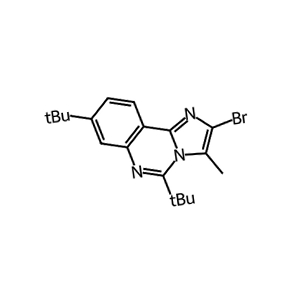 Cc1c(Br)nc2c3ccc(C(C)(C)C)cc3nc(C(C)(C)C)n12